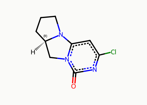 O=c1nc(Cl)cc2n1C[C@H]1CCCN21